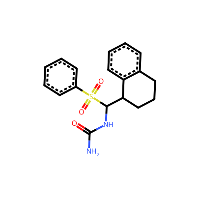 NC(=O)NC(C1CCCc2ccccc21)S(=O)(=O)c1ccccc1